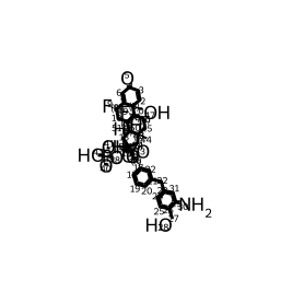 C[C@]12C=CC(=O)C=C1[C@@H](F)C[C@H]1[C@@H]3C[C@H]4O[C@@H](c5cccc(Cc6ccc(CO)c(N)c6)c5)O[C@@]4(C(=O)COP(=O)(O)O)[C@@]3(C)C[C@H](O)[C@@]12F